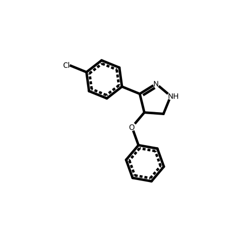 Clc1ccc(C2=NNCC2Oc2ccccc2)cc1